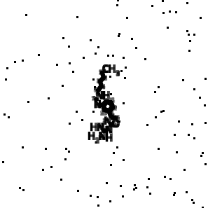 CCCCCCN/C=N\c1cccc(-c2coc(NC(=N)N)n2)c1